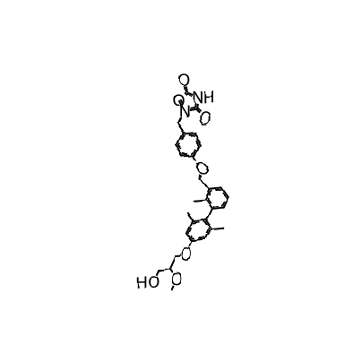 CO[C@@H](CO)COc1cc(C)c(-c2cccc(COc3ccc(Cn4oc(=O)[nH]c4=O)cc3)c2C)c(C)c1